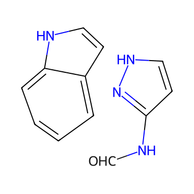 O=CNc1cc[nH]n1.c1ccc2[nH]ccc2c1